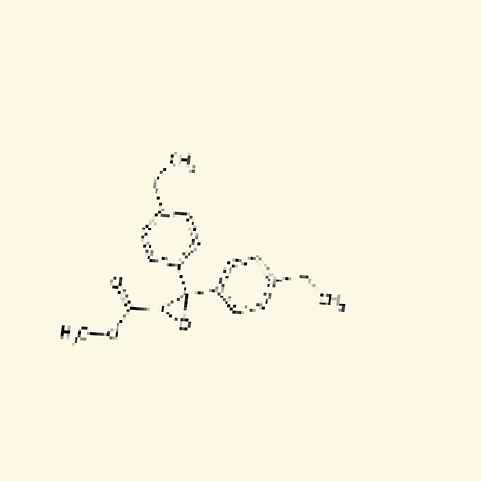 CCc1ccc(C2(c3ccc(CC)cc3)OC2C(=O)OC)cc1